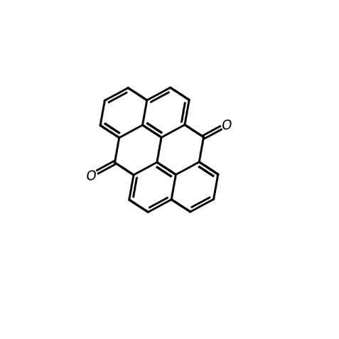 O=c1c2ccc3cccc4c(=O)c5ccc6cccc1c6c5-c2c34